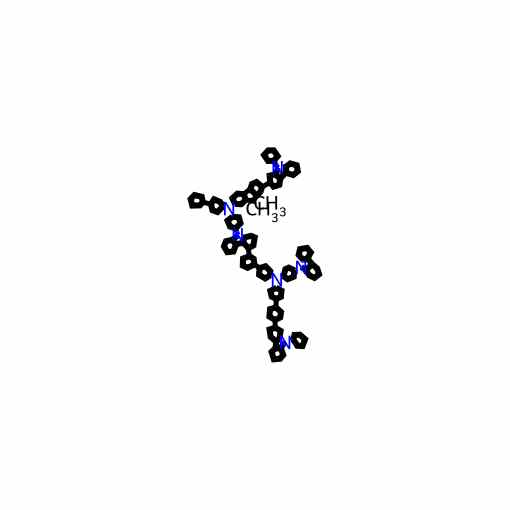 CC1(C)c2cc(-c3ccc4c5ccccc5n(-c5ccccc5)c4c3)ccc2-c2ccc(N(c3ccc(-c4ccccc4)cc3)c3ccc(-n4c5ccccc5c5c(-c6cccc(-c7ccc(N(c8ccc(-c9ccc(-c%10ccc%11c%12ccccc%12n(-c%12ccccc%12)c%11c%10)cc9)cc8)c8ccc(-n9c%10ccccc%10c%10ccccc%109)cc8)cc7)c6)cccc54)cc3)cc21